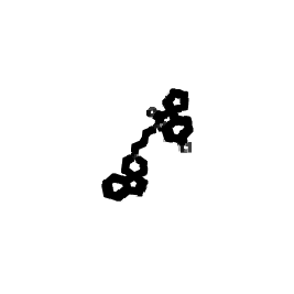 O=C(NCCCN1CCC2(C=Cc3ccccc32)CC1)C1(c2ccc(Cl)cc2)CCCC1